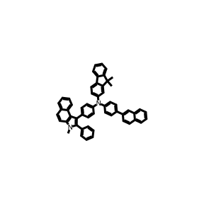 Cn1c(-c2ccccc2)c(-c2ccc(N(c3ccc(-c4ccc5ccccc5c4)cc3)c3ccc4c(c3)C(C)(C)c3ccccc3-4)cc2)c2c3ccccc3ccc21